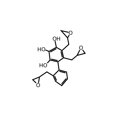 Oc1c(O)c(CC2CO2)c(CC2CO2)c(-c2ccccc2CC2CO2)c1O